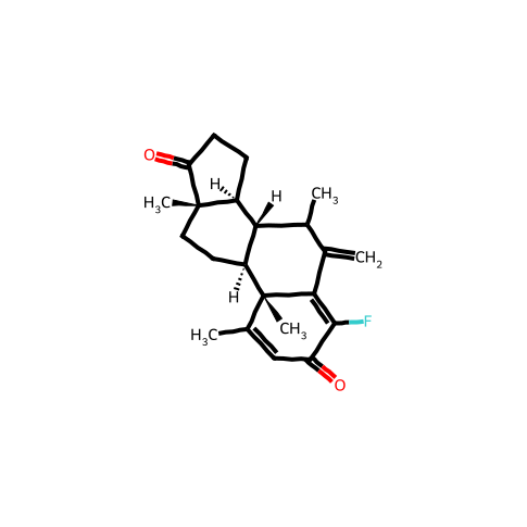 C=C1C2=C(F)C(=O)C=C(C)[C@]2(C)[C@H]2CC[C@]3(C)C(=O)CC[C@H]3[C@@H]2C1C